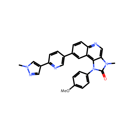 COc1ccc(-n2c(=O)n(C)c3cnc4ccc(-c5ccc(-c6cnn(C)c6)nc5)cc4c32)cc1